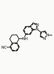 Cn1cc(-n2ncc3ccc(NC4CCCc5c(C#N)cccc54)cc32)cn1